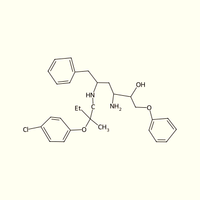 CCC(C)(CNC(Cc1ccccc1)CC(N)C(O)COc1ccccc1)Oc1ccc(Cl)cc1